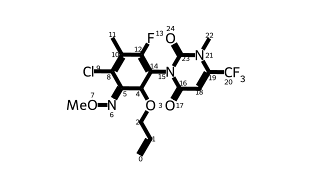 C=CCOC1C(=NOC)C(Cl)=C(C)C(F)=C1n1c(=O)cc(C(F)(F)F)n(C)c1=O